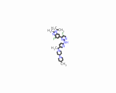 Cc1nc2c(F)cc(-c3nc(Nc4ccc([C@H](C)N5CCC(N6CCC(C)CC6)CC5)cn4)ncc3F)cc2n1C(C)C